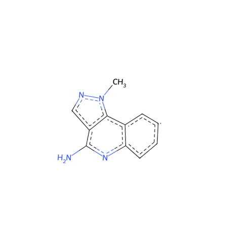 Cn1ncc2c(N)nc3cc[c]cc3c21